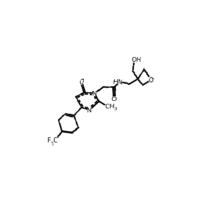 Cc1nc(C2=CCC(C(F)(F)F)CC2)cc(=O)n1CC(=O)NCC1(CO)COC1